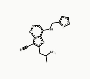 CC(N)Cc1sc2c(NCc3cccs3)cnnc2c1C#N